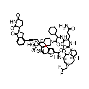 NC(=O)CCC(NC(=O)[C@@H]1CC[C@@H]2CCN(CC(F)F)C[C@H](NC(=O)c3cc4cc(C(F)(F)P(=O)(O)O)ccc4s3)C(=O)N21)C(=O)NC(C(=O)N1CCC(CCC#Cc2cccc3c2CN(C2CCC(=O)NC2=O)C3=O)CC1)C1CCCCC1